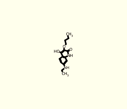 CCCCOc1c(O)c2ccc(NCC)cc2[nH]c1=O